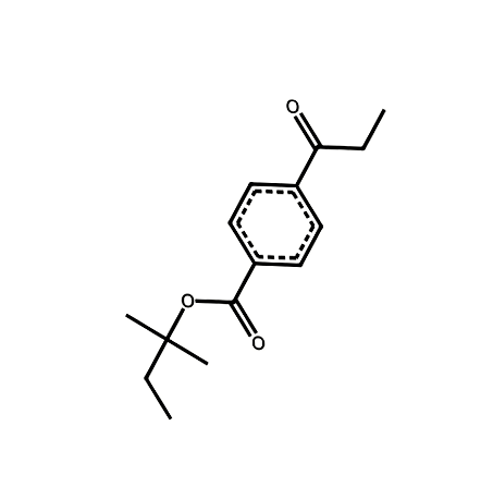 CCC(=O)c1ccc(C(=O)OC(C)(C)CC)cc1